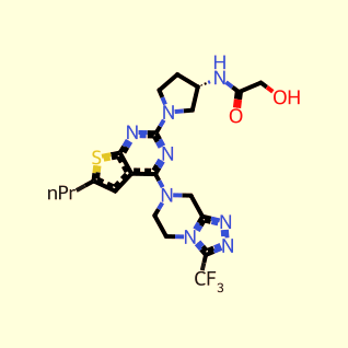 CCCc1cc2c(N3CCn4c(nnc4C(F)(F)F)C3)nc(N3CC[C@H](NC(=O)CO)C3)nc2s1